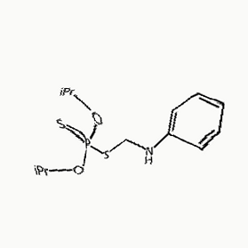 CC(C)OP(=S)(OC(C)C)SCNc1ccccc1